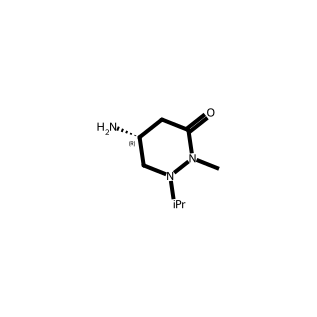 CC(C)N1C[C@H](N)CC(=O)N1C